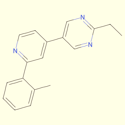 CCc1ncc(-c2ccnc(-c3ccccc3C)c2)cn1